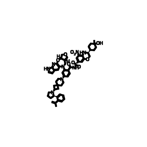 C=C(C)c1ccccc1[C@@H]1CCCN1C1CC2(CCN(c3ccc(C(=O)NS(=O)(=O)c4cc5c(c([N+](=O)[O-])c4)N[C@H](C4CCC(C)(O)CC4)CO5)c(N4C[C@@H]5COC[C@H]5Oc5nc6[nH]ccc6cc54)c3)CC2)C1